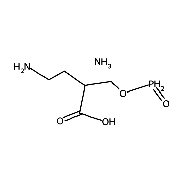 N.NCCC(CO[PH2]=O)C(=O)O